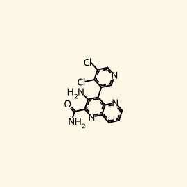 NC(=O)c1nc2cccnc2c(-c2cncc(Cl)c2Cl)c1N